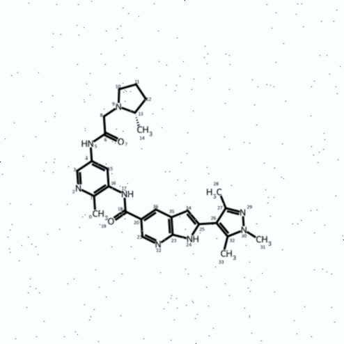 Cc1ncc(NC(=O)CN2CCC[C@@H]2C)cc1NC(=O)c1cnc2[nH]c(-c3c(C)nn(C)c3C)cc2c1